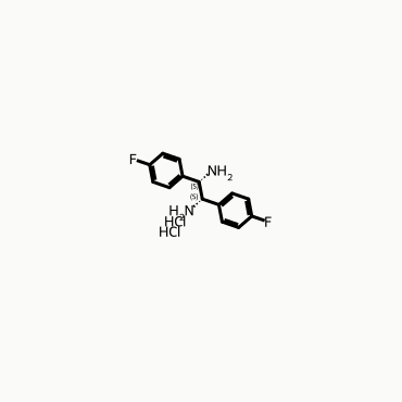 Cl.Cl.N[C@@H](c1ccc(F)cc1)[C@@H](N)c1ccc(F)cc1